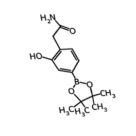 CC1(C)OB(c2ccc(CC(N)=O)c(O)c2)OC1(C)C